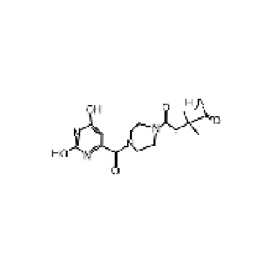 CC(C)([CH]C(=O)N1CCN(C(=O)c2cc(O)nc(O)n2)CC1)C(N)=O